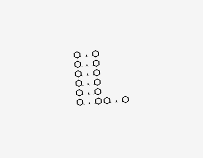 O=C(Oc1ccccc1)Oc1ccccc1.O=C(Oc1ccccc1)Oc1ccccc1.O=C(Oc1ccccc1)Oc1ccccc1.O=C(Oc1ccccc1)Oc1ccccc1.O=C(Oc1ccccc1)Oc1ccccc1.O=C(Oc1ccccc1)Oc1ccccc1.O=C(Oc1ccccc1)Oc1ccccc1